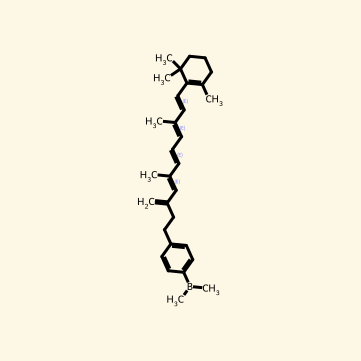 C=C(/C=C(C)/C=C/C=C(C)/C=C/C1=C(C)CCCC1(C)C)CCc1ccc(B(C)C)cc1